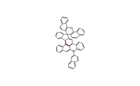 c1ccc(N(c2ccc3ccccc3c2)c2ccc3ccccc3c2)c(-c2ccc3c(c2)C2(c4ccccc4-3)c3ccc4ccccc4c3Oc3c2ccc2ccccc32)c1